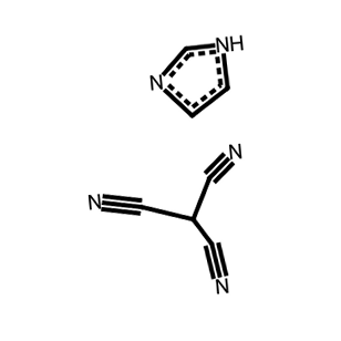 N#CC(C#N)C#N.c1c[nH]cn1